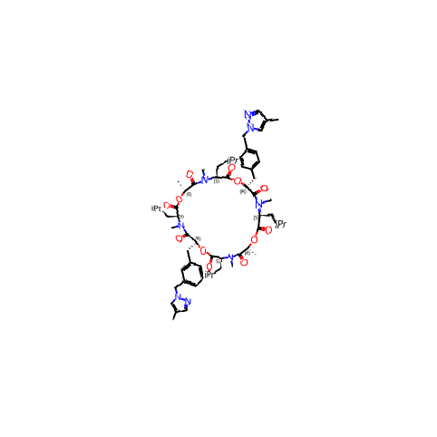 Cc1cnn(Cc2ccc(C[C@H]3OC(=O)[C@H](CC(C)C)N(C)C(=O)[C@@H](C)OC(=O)[C@H](CC(C)C)N(C)C(=O)[C@@H](Cc4cccc(Cn5cc(C)cn5)c4)OC(=O)[C@H](CC(C)C)N(C)C(=O)[C@@H](C)OC(=O)[C@H](CC(C)C)N(C)C3=O)cc2)c1